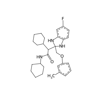 Cc1cccc(OCC2(C(C(=O)NC3CCCCC3)C3CCCCC3)Nc3ccc(F)cc3N2)c1